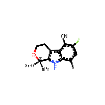 CCC[C@@]1(OC(C)=O)OCCc2c1[nH]c1c(C)cc(F)c(C#N)c21